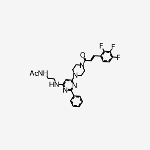 CC(=O)NCCNc1cc(N2CCN(C(=O)C=Cc3ccc(F)c(F)c3F)CC2)nc(-c2ccccc2)n1